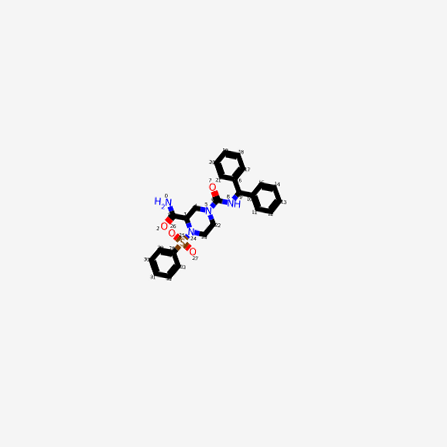 NC(=O)C1CN(C(=O)NC(c2ccccc2)c2ccccc2)CCN1S(=O)(=O)c1ccccc1